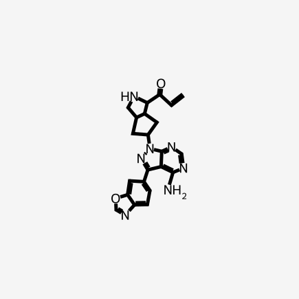 C=CC(=O)C1NCC2CC(n3nc(-c4ccc5ncoc5c4)c4c(N)ncnc43)CC21